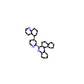 c1ccc2c(c1)ccc1c(-c3cc(-c4cccc5ncccc45)ccn3)nc3ccccc3c12